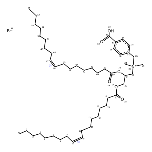 CCCCCCCC/C=C\CCCCCCCC(=O)OCC(C[N+](C)(C)Cc1ccc(C(=O)O)cc1)OC(=O)CCCCCCC/C=C\CCCCCCCC.[Br-]